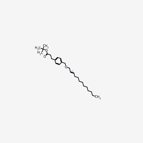 CCCCCCCCCC/C=C/COCc1ccc(CCC(=O)OC(C)(C)C)cc1